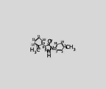 Cc1ccc(-n2[nH]cc(-c3ccccc3C)c2=O)cc1